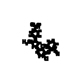 C=C1C[C@H](c2ccc(Cl)c(Oc3c(Cl)cccc3C#N)c2)CN1c1ccc([SH](=O)=O)cc1